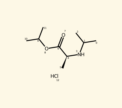 CC(C)N[C@@H](C)C(=O)OC(C)C.Cl